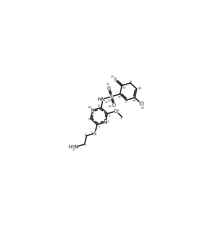 COc1nc(SCCN)cnc1NS(=O)(=O)C1=CC(Cl)=CCC1=S